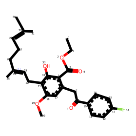 CCOC(=O)c1c(CC(=O)c2ccc(F)cc2)cc(OC)c(C/C=C(\C)CCC=C(C)C)c1O